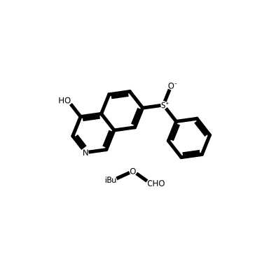 CCC(C)OC=O.[O-][S+](c1ccccc1)c1ccc2c(O)cncc2c1